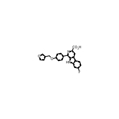 O=C(O)c1cc2c([nH]c3cc(F)ccc32)c(-c2ccc(OCc3ccoc3)cc2)n1